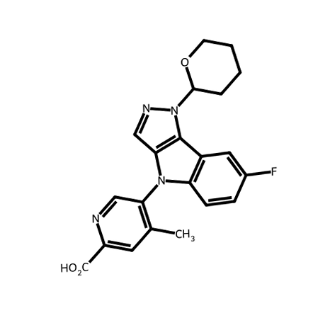 Cc1cc(C(=O)O)ncc1-n1c2ccc(F)cc2c2c1cnn2C1CCCCO1